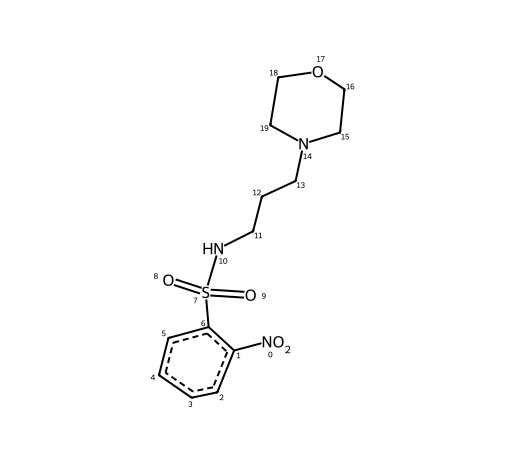 O=[N+]([O-])c1ccccc1S(=O)(=O)NCCCN1CCOCC1